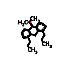 CCCc1cccc(CCC)c1[CH]c1c(CCC)cccc1CCC